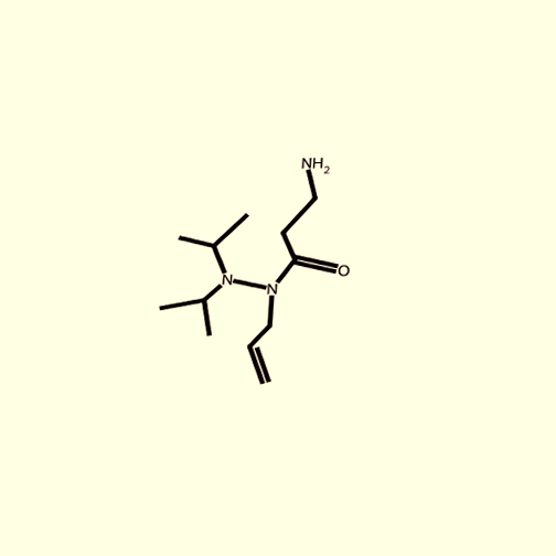 C=CCN(C(=O)CCN)N(C(C)C)C(C)C